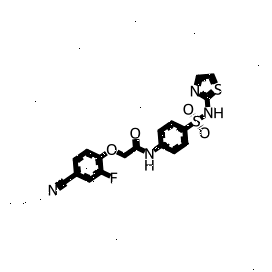 N#Cc1ccc(OCC(=O)Nc2ccc(S(=O)(=O)Nc3nccs3)cc2)c(F)c1